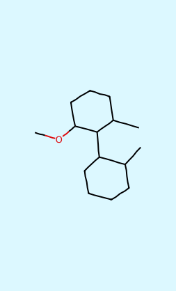 COC1CCCC(C)C1C1CCCCC1C